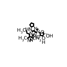 CCCCC1=C(C)N=NC1(C)c1nc(NC2CCCC2)c2ncn(C3O[C@H](CO)[C@@H](O)[C@H]3O)c2n1